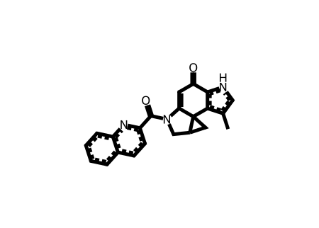 Cc1c[nH]c2c1C13CC1CN(C(=O)c1ccc4ccccc4n1)C3=CC2=O